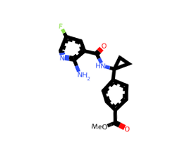 COC(=O)c1ccc(C2(NC(=O)c3cc(F)cnc3N)CC2)cc1